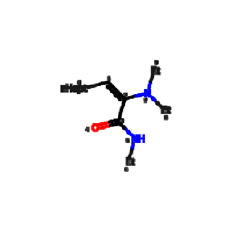 CCCCCCC/C=C(\C(=O)NCC)N(CC)CC